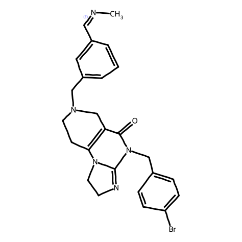 C/N=C\c1cccc(CN2CCC3=C(C2)C(=O)N(Cc2ccc(Br)cc2)C2=NCCN23)c1